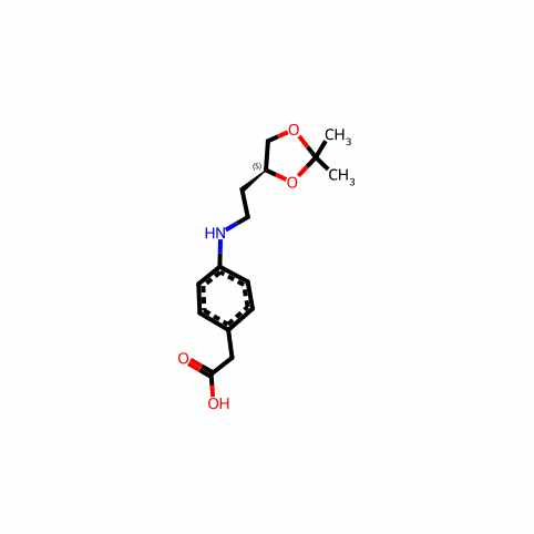 CC1(C)OC[C@H](CCNc2ccc(CC(=O)O)cc2)O1